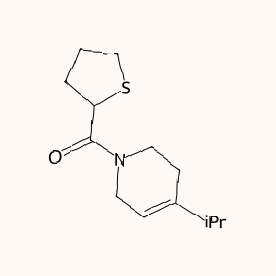 CC(C)C1=CCN(C(=O)C2CCCS2)CC1